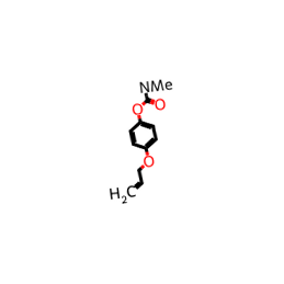 C=CCOc1ccc(OC(=O)NC)cc1